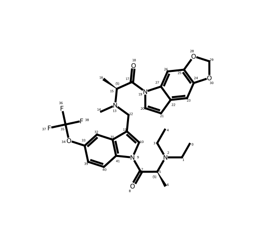 CCN(CC)[C@@H](C)C(=O)n1cc(CN(C)[C@@H](C)C(=O)n2ccc3cc4c(cc32)OCO4)c2cc(OC(F)(F)F)ccc21